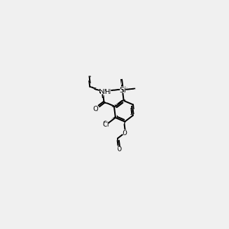 CCNC(=O)c1c([Si](C)(C)C)ccc(OC=O)c1Cl